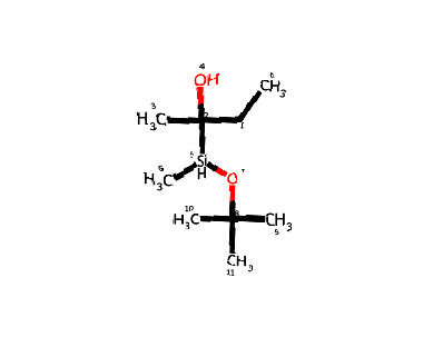 CCC(C)(O)[SiH](C)OC(C)(C)C